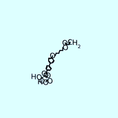 C=CC(=O)OCCCCCCOc1ccc(-c2ccc(C3O[C@H](C(=O)O)[C@@H](C(=O)O)O3)cc2)cc1